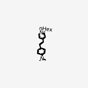 CCCCCC[n+]1ccc(/C=C/c2ccc(N(C)C)cc2)cc1